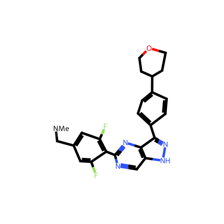 CNCc1cc(F)c(-c2ncc3[nH]nc(-c4ccc(C5CCOCC5)cc4)c3n2)c(F)c1